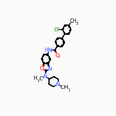 Cc1ccc(-c2ccc(C(=O)Nc3ccc4oc(N(C)C5CCN(C)CC5)nc4c3)cc2)c(Cl)c1